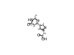 Cc1nc(-c2cnn(CC(=O)O)c2)cc(=O)[nH]1